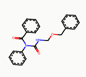 O=C(NCOCc1ccccc1)N(C(=O)c1ccccc1)c1ccccc1